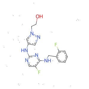 OCCn1cc(Nc2ncc(F)c(NCc3ccccc3F)n2)cn1